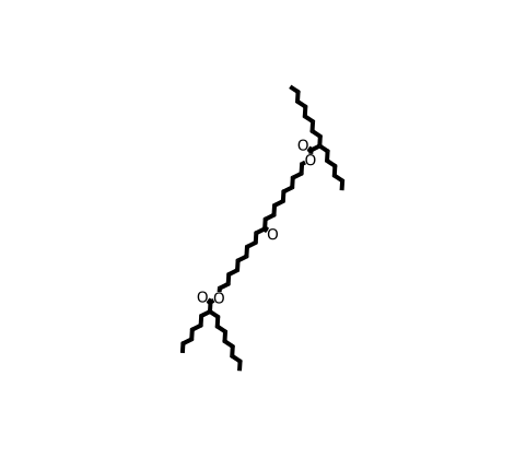 CCCCCCCCC(CCCCCC)C(=O)OCCCCCCCCCC(=O)CCCCCCCCCOC(=O)C(CCCCCC)CCCCCCCC